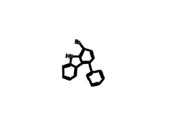 Brc1ccc(-c2ccccc2)c2c1[nH]c1ccccc12